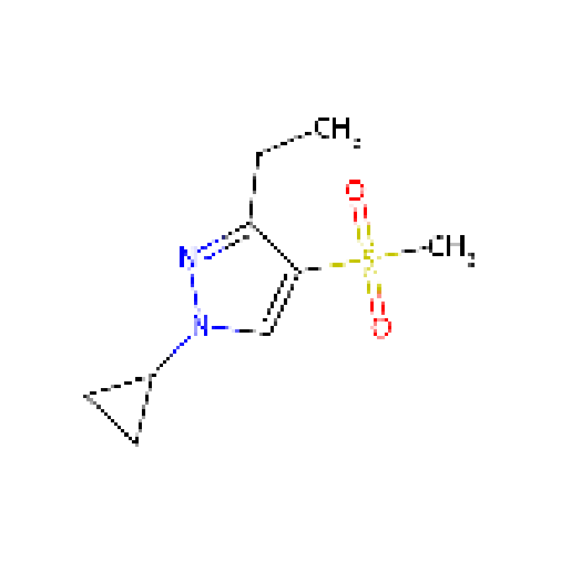 CCc1nn(C2CC2)cc1S(C)(=O)=O